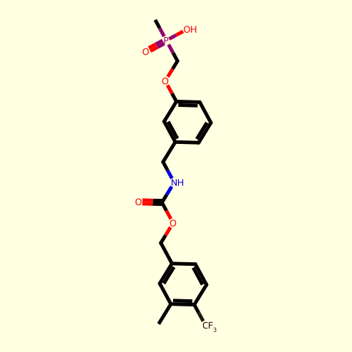 Cc1cc(COC(=O)NCc2cccc(OCP(C)(=O)O)c2)ccc1C(F)(F)F